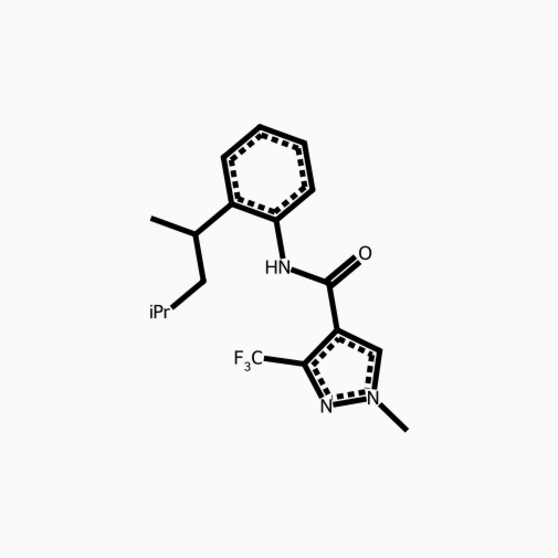 CC(C)CC(C)c1ccccc1NC(=O)c1cn(C)nc1C(F)(F)F